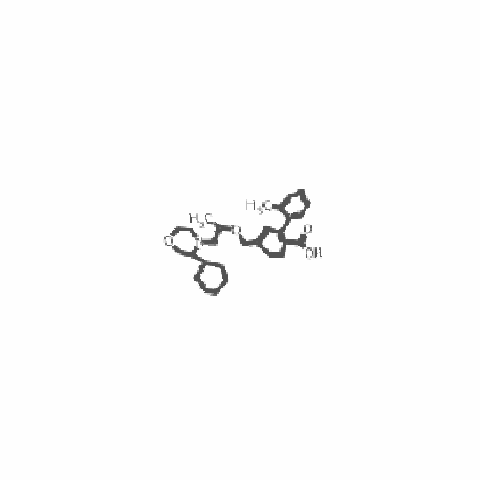 Cc1ccccc1-c1cc(COC(C)CN2CCOCC2C2CCCCC2)ccc1C(=O)O